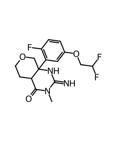 CN1C(=N)NC2(c3cc(OCC(F)F)ccc3F)COCCC2C1=O